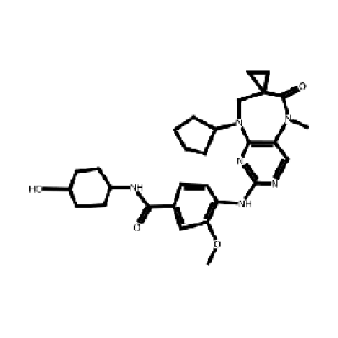 COc1cc(C(=O)NC2CCC(O)CC2)ccc1Nc1ncc2c(n1)N(C1CCCC1)CC1(CC1)C(=O)N2C